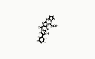 O=c1c2nc(Sc3cccs3)n(CCO)c2nc2[nH]c(-c3ccccc3)cn12